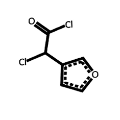 O=C(Cl)C(Cl)c1ccoc1